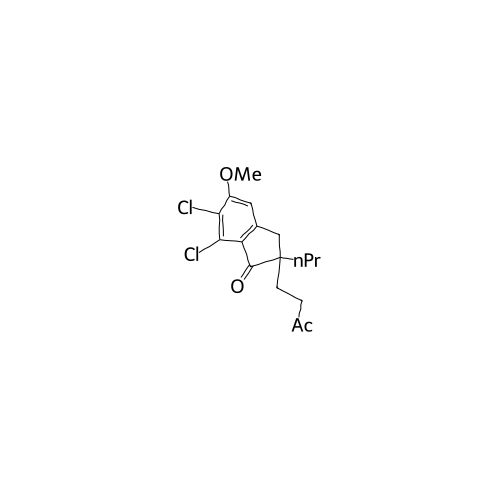 CCCC1(CCC(C)=O)Cc2cc(OC)c(Cl)c(Cl)c2C1=O